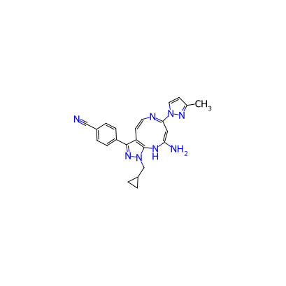 Cc1ccn(-c2cc(N)[nH]c3c(ccn2)c(-c2ccc(C#N)cc2)nn3CC2CC2)n1